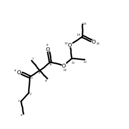 CCCC(=O)C(C)(C)C(=O)OC(C)OC(C)=O